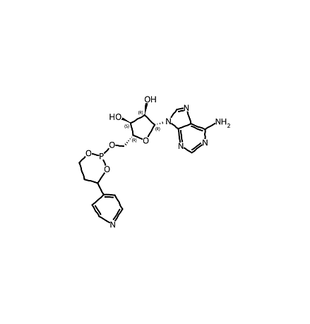 Nc1ncnc2c1ncn2[C@@H]1O[C@H](COP2OCCC(c3ccncc3)O2)[C@@H](O)[C@H]1O